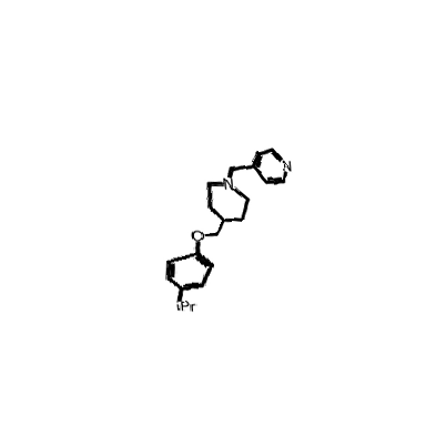 CC(C)c1ccc(OCC2CCN(Cc3ccncc3)CC2)cc1